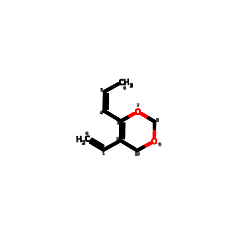 C=CC1=C(/C=C\C)OCOC1